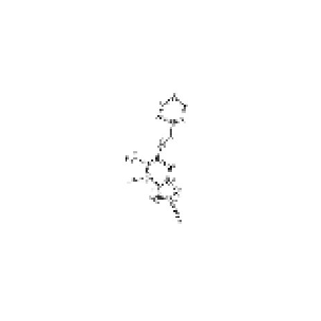 Cc1c(NCc2ccccc2)cc2oc(=O)[nH]c2c1F